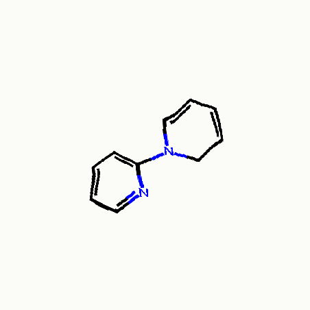 C1=CCN(c2ccccn2)C=C1